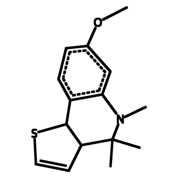 COc1ccc2c(c1)N(C)C(C)(C)C1C=CSC21